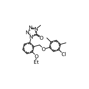 CCOc1cccc(-n2nnn(C)c2=O)c1COc1cc(Cl)c(C)cc1C